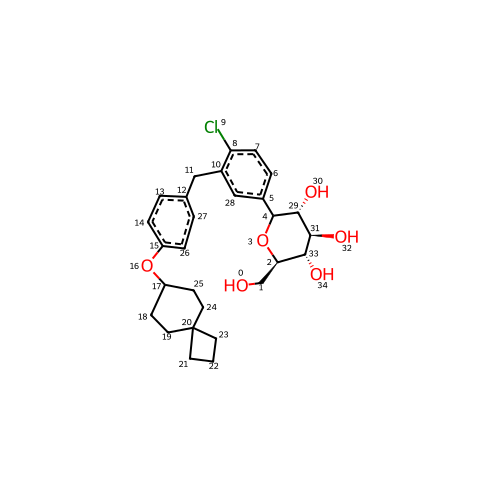 OC[C@H]1OC(c2ccc(Cl)c(Cc3ccc(OC4CCC5(CCC5)CC4)cc3)c2)[C@H](O)[C@@H](O)[C@@H]1O